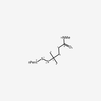 CCCCCSSC(C)(C)CCC(=O)NC